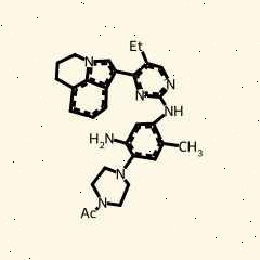 CCc1cnc(Nc2cc(N)c(N3CCN(C(C)=O)CC3)cc2C)nc1-c1cn2c3c(cccc13)CCC2